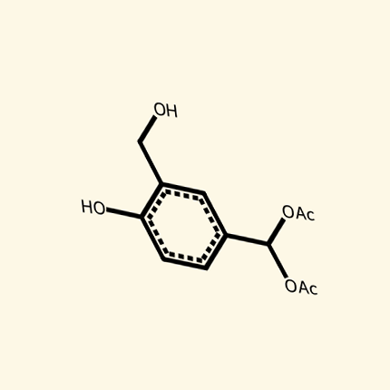 CC(=O)OC(OC(C)=O)c1ccc(O)c(CO)c1